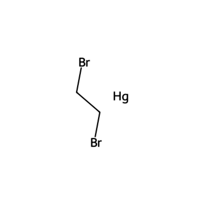 BrCCBr.[Hg]